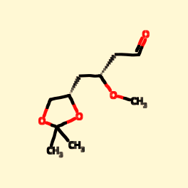 CO[C@@H](CC=O)C[C@H]1COC(C)(C)O1